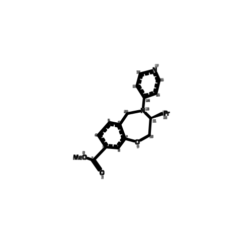 COC(=O)c1ccc2c(c1)OC[C@H](C(C)C)N(c1ccncc1)C2